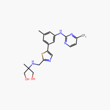 Cc1cc(Nc2nccc(C(F)(F)F)n2)cc(-c2cnc(CNC(C)(CO)CO)s2)c1